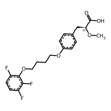 CO[C@@H](Cc1ccc(OCCCCOc2c(F)ccc(F)c2F)cc1)C(=O)O